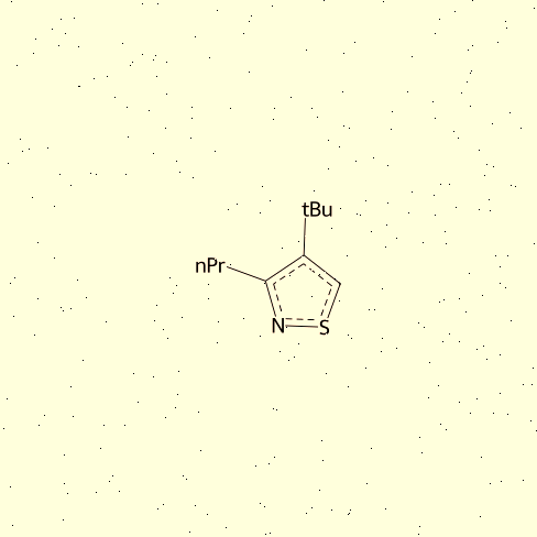 CCCc1nscc1C(C)(C)C